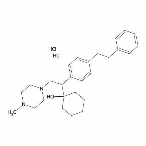 CN1CCN(CC(c2ccc(CCc3ccccc3)cc2)C2(O)CCCCC2)CC1.Cl.Cl